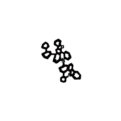 c1ccc(-c2cccc(-c3ccc(N(c4ccc(-c5ccccc5-n5c6ccccc6c6ccccc65)cc4)c4ccccc4-c4cccc5c4oc4ccccc45)cc3)c2)cc1